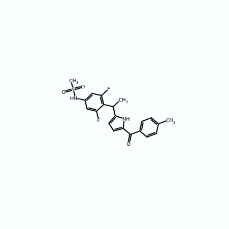 Cc1ccc(C(=O)c2ccc(C(C)c3c(F)cc(NS(C)(=O)=O)cc3F)[nH]2)cc1